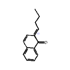 CCC/C=C1\C=Cc2ccccc2C1=O